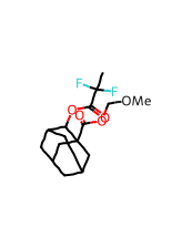 COCOC(=O)C12CC3CC(CC(C3)C1OC(=O)C(C)(F)F)C2